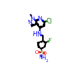 Cn1ncc2c(NCc3ccc(S(N)(=O)=O)cc3F)cc(Cl)nc21